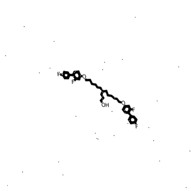 OCCCC(CCCCCCOc1ccc(-c2ccc(F)cc2)c(F)c1)CCCCCCOc1ccc(-c2ccc(F)cc2)c(F)c1